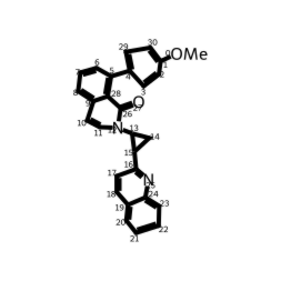 COc1ccc(-c2cccc3ccn(C4CC4c4ccc5ccccc5n4)c(=O)c23)cc1